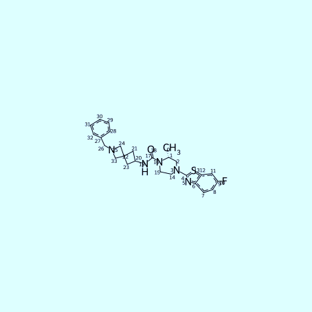 C[C@@H]1CN(c2nc3ccc(F)cc3s2)CCN1C(=O)NC1CC2(C1)CN(Cc1ccccc1)C2